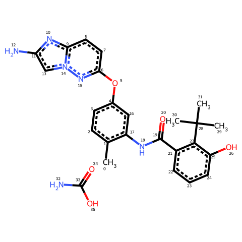 Cc1ccc(Oc2ccc3nc(N)cn3n2)cc1NC(=O)c1cccc(O)c1C(C)(C)C.NC(=O)O